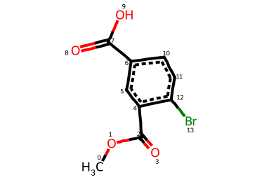 COC(=O)c1cc(C(=O)O)ccc1Br